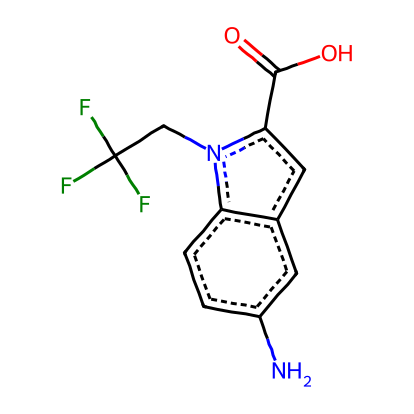 Nc1ccc2c(c1)cc(C(=O)O)n2CC(F)(F)F